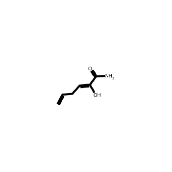 C=CC/C=C(\O)C(N)=O